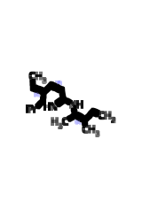 C=C/C(C)=C(/C)NC(=N)/C=C\C(=C/C)CC(C)C